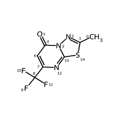 Cc1nn2c(=O)cc(C(F)(F)F)nc2s1